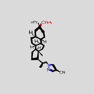 CCC[C@@]1(O)CC[C@H]2[C@@H](CC[C@@H]3[C@@H]2CC[C@]2(C)[C@@H](C(C)Cn4cc(C#N)cn4)CC[C@@H]32)C1